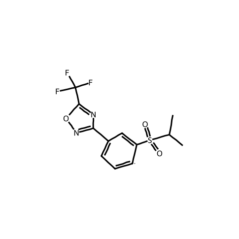 CC(C)S(=O)(=O)c1[c]ccc(-c2noc(C(F)(F)F)n2)c1